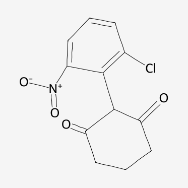 O=C1CCCC(=O)C1c1c(Cl)cccc1[N+](=O)[O-]